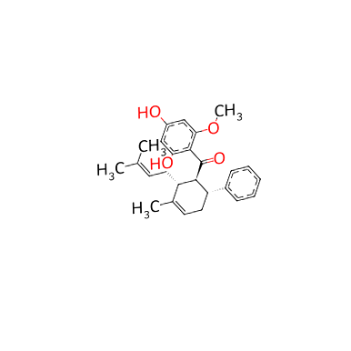 COc1cc(O)cc(O)c1C(=O)[C@@H]1[C@@H](CC=C(C)C)C(C)=CC[C@H]1c1ccccc1